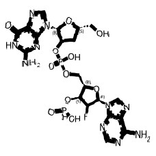 Nc1nc2c(ncn2[C@@H]2O[C@H](CO)CC2OP(=O)(O)OC[C@H]2O[C@@H](n3cnc4c(N)ncnc43)C(F)[C@H]2O[PH](=O)O)c(=O)[nH]1